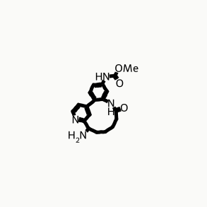 COC(=O)Nc1ccc2c(c1)NC(=O)CCCCC(N)c1cc-2ccn1